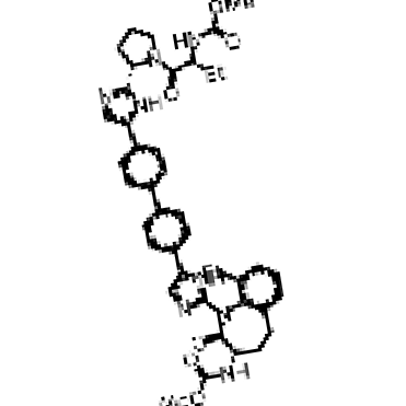 CCc1cccc2c1N(c1ncc(-c3ccc(-c4ccc(-c5cnc([C@@H]6CCCN6C(=O)[C@H](CC)NC(=O)OC)[nH]5)cc4)cc3)[nH]1)C(=O)[C@@H](NC(=O)OC)CC2